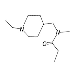 CCC(=O)N(C)CC1CCN(CC)CC1